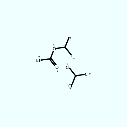 CCC(=O)OC(C)I.ClC(Cl)Cl